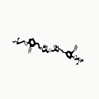 CN(C)CCOc1ccc(CCn2cc(COCc3cn(CCc4ccc(OCCN(C)C)c(Br)c4)nn3)nn2)cc1Br